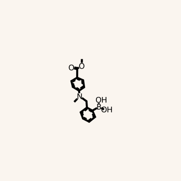 COC(=O)c1ccc(N(C)Cc2ccccc2B(O)O)cc1